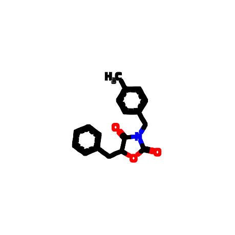 Cc1ccc(CN2C(=O)OC(Cc3ccccc3)C2=O)cc1